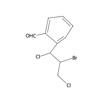 O=Cc1ccccc1C(Cl)C(Br)CCl